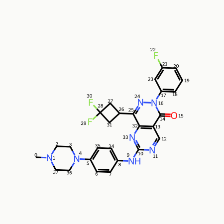 CN1CCN(c2ccc(Nc3ncc4c(=O)n(-c5cccc(F)c5)nc(C5CC(F)(F)C5)c4n3)cc2)CC1